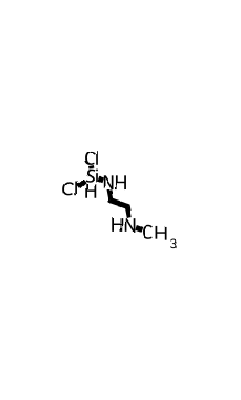 CNCCN[SiH](Cl)Cl